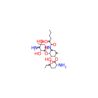 CCCC[C@H](O)C(=O)N[C@@H]1C[C@H](C)C(O[C@H]2O[C@H](CC)CCC2N)C(O)C1O[C@H]1OCC(C)(O)[C@H](NC)C1O